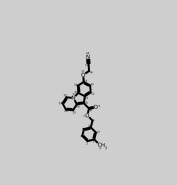 Cc1cccc(COC(=O)c2c3ccc(OCC#N)cc3n3ccccc23)c1